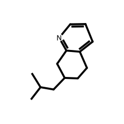 CC(C)CC1CCc2cccnc2C1